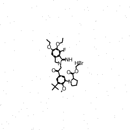 Br.CCOC(=O)C1CCCN1c1cc(C(=O)CN2Cc3cc(OCC)c(OCC)c(F)c3C2=N)cc(C(C)(C)C)c1OC